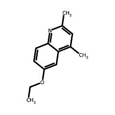 CCOc1ccc2nc(C)cc(C)c2c1